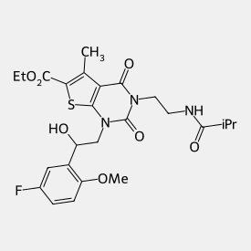 CCOC(=O)c1sc2c(c1C)c(=O)n(CCNC(=O)C(C)C)c(=O)n2CC(O)c1cc(F)ccc1OC